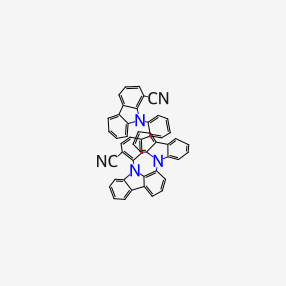 N#Cc1ccc(-c2ccccc2-n2c3ccccc3c3cccc(C#N)c32)cc1-n1c2ccccc2c2cccc(-n3c4ccccc4c4ccccc43)c21